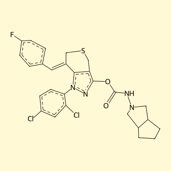 O=C(NN1CC2CCCC2C1)Oc1nn(-c2ccc(Cl)cc2Cl)c2c1CSC/C2=C\c1ccc(F)cc1